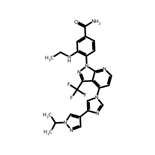 CCNc1cc(C(N)=O)ccc1-n1nc(C(F)(F)F)c2c(-n3cnc(-c4cnn(C(C)C)c4)c3)ccnc21